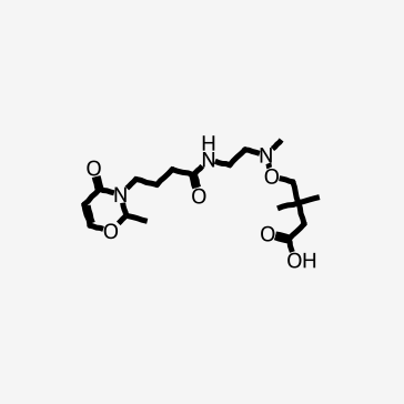 CC1OC=CC(=O)N1CCCC(=O)NCCN(C)OCC(C)(C)CC(=O)O